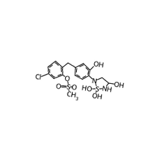 CS(=O)(=O)Oc1cc(Cl)ccc1Cc1ccc(N2CC(O)NS2(O)O)c(O)c1